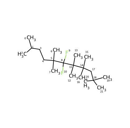 CC(C)CCC(C)(C)C(F)(F)C(C)(C)C(C)(C)CC(C)(C)C